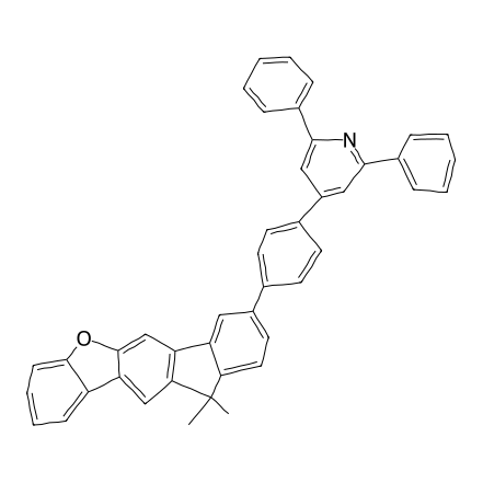 CC1(C)c2ccc(-c3ccc(-c4cc(-c5ccccc5)nc(-c5ccccc5)c4)cc3)cc2-c2cc3oc4ccccc4c3cc21